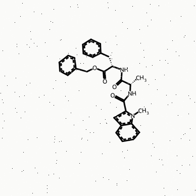 C[C@H](NC(=O)c1cc2ccccc2n1C)C(=O)N[C@@H](Cc1ccccc1)C(=O)OCc1ccccc1